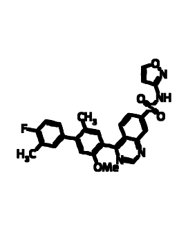 COc1cc(-c2ccc(F)c(C)c2)c(C)cc1-c1ncnc2cc(S(=O)(=O)Nc3ccon3)ccc12